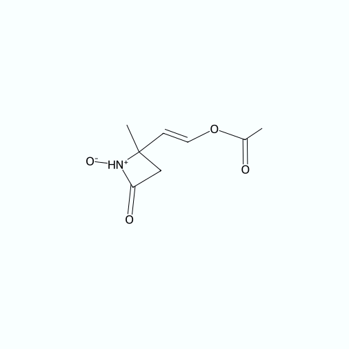 CC(=O)OC=CC1(C)CC(=O)[NH+]1[O-]